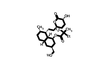 CCC(C)(C)C(=O)O[C@H]1C[C@@H](CO)C[C@@H]2CC[C@H](C)[C@H](CC[C@@H]3CC[C@@H](O)C(=O)O3)[C@H]21